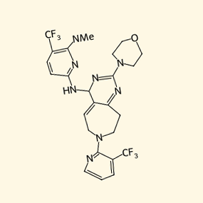 CNc1nc(NC2N=C(N3CCOCC3)N=C3CCN(c4ncccc4C(F)(F)F)CC=C32)ccc1C(F)(F)F